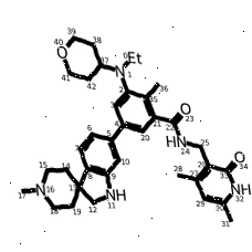 CCN(c1cc(-c2ccc3c(c2)NCC32CCN(C)CC2)cc(C(=O)NCc2c(C)cc(C)[nH]c2=O)c1C)C1CCOCC1